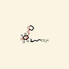 O=C(O)CCC/C=C\C[C@H]1[C@@H](COC2CCCCO2)[C@@H]2O[C@H]1[C@@H]1O[C@@H]12